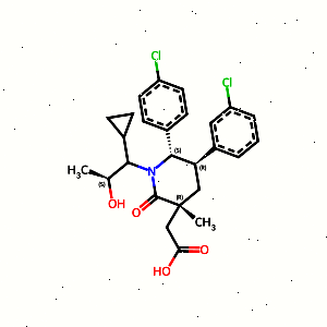 C[C@H](O)C(C1CC1)N1C(=O)[C@@](C)(CC(=O)O)C[C@H](c2cccc(Cl)c2)[C@H]1c1ccc(Cl)cc1